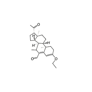 CCOC1=CC2=C(C=O)C(C)[C@H]3[C@@H]4CC[C@H](C(C)=O)[C@@]4(C)CC[C@@H]3[C@@]2(C)CC1